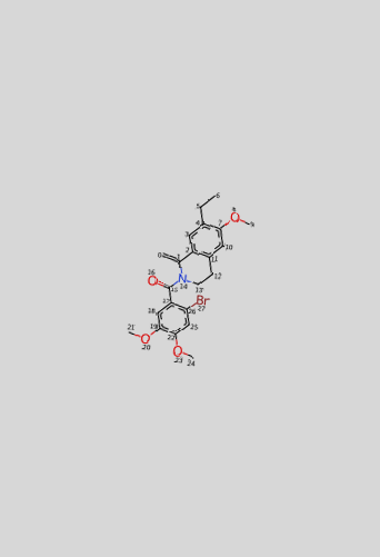 C=C1c2cc(CC)c(OC)cc2CCN1C(=O)c1cc(OC)c(OC)cc1Br